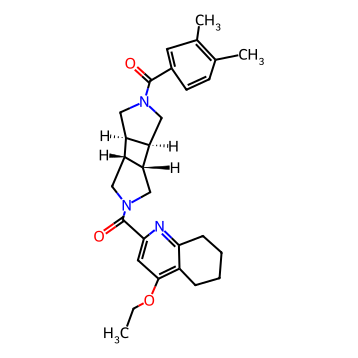 CCOc1cc(C(=O)N2C[C@@H]3[C@H]4CN(C(=O)c5ccc(C)c(C)c5)C[C@H]4[C@@H]3C2)nc2c1CCCC2